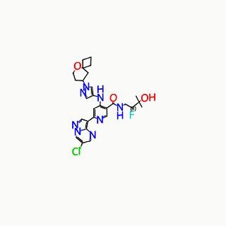 CC(C)(O)[C@H](F)CNC(=O)c1cnc(-c2cnn3cc(Cl)cnc23)cc1Nc1cnn(C2CCOC3(CCC3)C2)c1